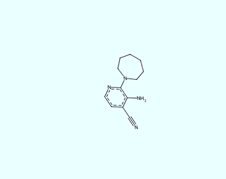 N#Cc1ccnc(N2CCCCCC2)c1N